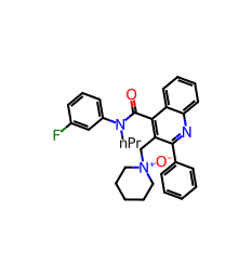 CCCN(C(=O)c1c(C[N+]2([O-])CCCCC2)c(-c2ccccc2)nc2ccccc12)c1cccc(F)c1